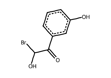 O=C(c1cccc(O)c1)C(O)Br